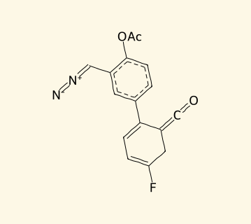 CC(=O)Oc1ccc(C2=CC=C(F)CC2=C=O)cc1C=[N+]=[N-]